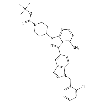 CC(C)(C)OC(=O)N1CCC(n2nc(-c3ccc4c(ccn4Cc4ccccc4Cl)c3)c3c(N)ncnc32)CC1